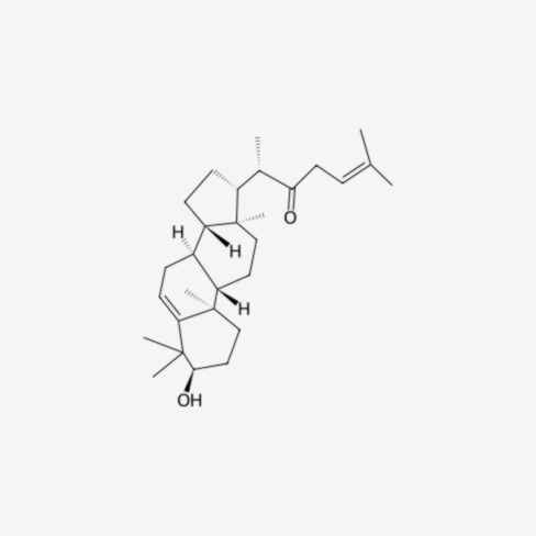 CC(C)=CCC(=O)[C@@H](C)[C@H]1CC[C@H]2[C@@H]3CC=C4C(C)(C)[C@H](O)CC[C@]4(C)[C@H]3CC[C@]12C